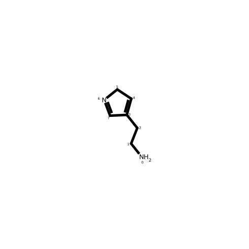 NCCC1=CCN=C1